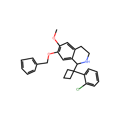 COc1cc2c(cc1OCc1ccccc1)C(C1(c3ccccc3Cl)CCC1)NCC2